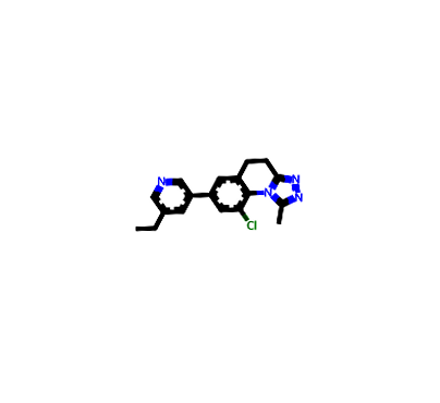 CCc1cncc(-c2cc(Cl)c3c(c2)CCc2nnc(C)n2-3)c1